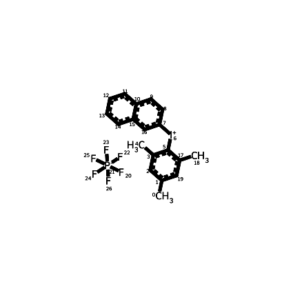 Cc1cc(C)c([I+]c2ccc3ccccc3c2)c(C)c1.F[P-](F)(F)(F)(F)F